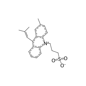 CC(C)=Cc1c2ccccc2[n+](CCCS(=O)(=O)[O-])c2ccc(C)cc12